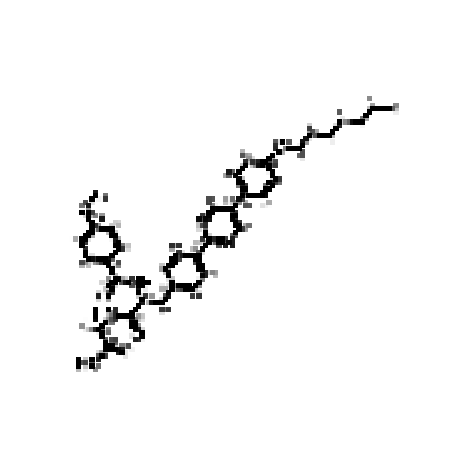 CCCCCCCOc1ccc(-c2cnc(-c3ccc(C[C@H](NC(=O)c4ccc(OC)cc4)C(=O)N[C@H](C)C(=O)O)cc3)nc2)cc1